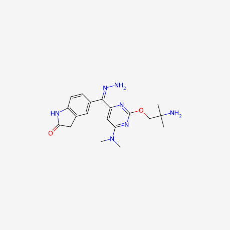 CN(C)c1cc(C(=NN)c2ccc3c(c2)CC(=O)N3)nc(OCC(C)(C)N)n1